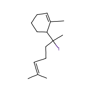 CC(C)=CCCC(C)(I)C1CCCC=C1C